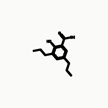 CCCc1cc(CCC)c(O)c(C(=O)O)c1